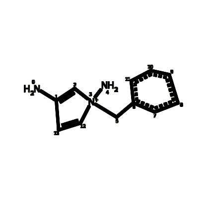 NC1=C[N+](N)(Cc2ccccc2)C=C1